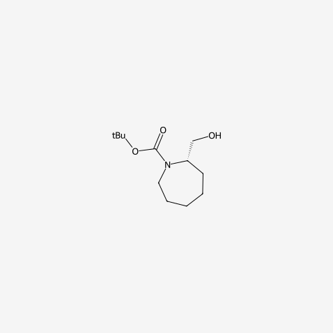 CC(C)(C)OC(=O)N1CCCCC[C@H]1CO